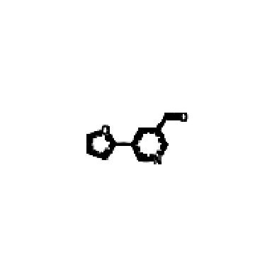 O=Cc1cncc(-c2ccco2)c1